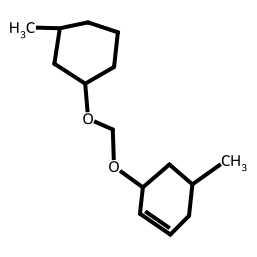 CC1CC=CC(OCOC2CCCC(C)C2)C1